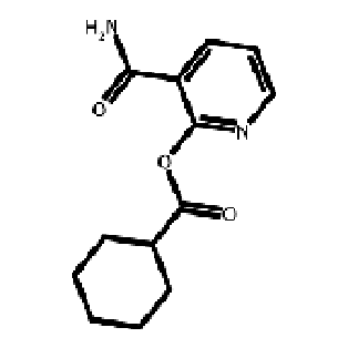 NC(=O)c1cccnc1OC(=O)C1CCCCC1